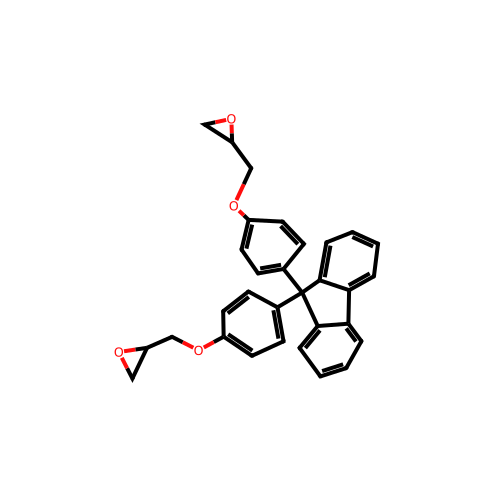 c1ccc2c(c1)-c1ccccc1C2(c1ccc(OCC2CO2)cc1)c1ccc(OCC2CO2)cc1